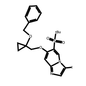 CC(C)(C)S(=O)(=O)c1cn2c(I)cnc2cc1OCC1(OCc2ccccc2)CC1